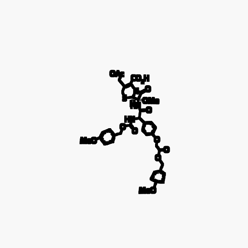 COc1ccc(COC(=O)COc2ccc(C(NC(=O)OCc3ccc(OC)cc3)C(=O)N[C@]3(OC)C(=O)N4C(C(=O)O)=C(COC(C)=O)CS[C@@H]43)cc2)cc1